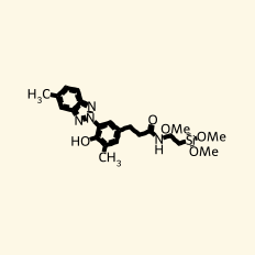 CO[Si](CCNC(=O)CCc1cc(C)c(O)c(-n2nc3ccc(C)cc3n2)c1)(OC)OC